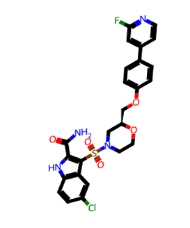 NC(=O)c1[nH]c2ccc(Cl)cc2c1S(=O)(=O)N1CCO[C@H](COc2ccc(-c3ccnc(F)c3)cc2)C1